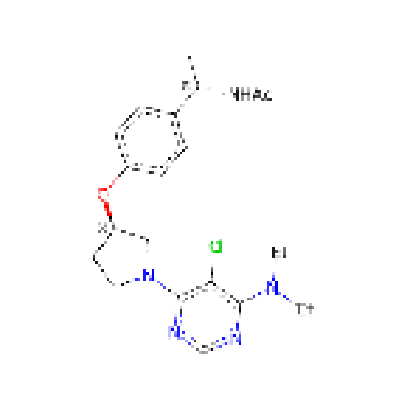 CCN(CC)c1ncnc(N2CC[C@@H](Oc3ccc([C@H](C)NC(C)=O)cc3)C2)c1Cl